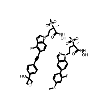 CSc1ccc(-c2ccc3c(cnn3CC[C@](C)(C(=O)NO)S(C)(=O)=O)c2)c(F)c1.C[C@@](CCn1ccc2c(F)c(C#Cc3ccc(C4(O)COC4)cc3)ccc21)(C(=O)NO)S(C)(=O)=O